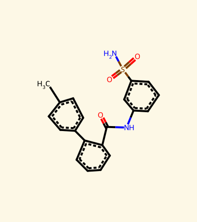 Cc1ccc(-c2ccccc2C(=O)Nc2cccc(S(N)(=O)=O)c2)cc1